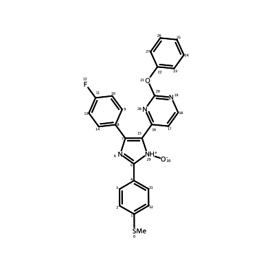 CSc1ccc(C2=NC(c3ccc(F)cc3)=C(c3ccnc(Oc4ccccc4)n3)[NH+]2[O-])cc1